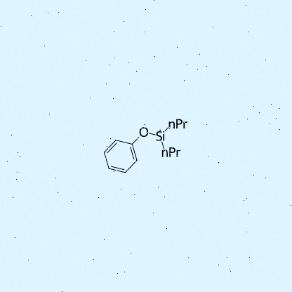 CCC[Si](CCC)Oc1ccccc1